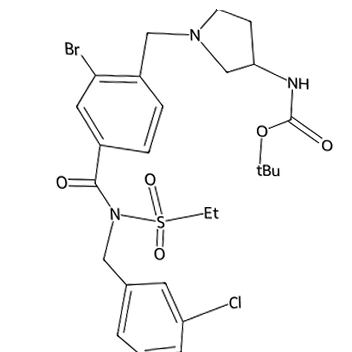 CCS(=O)(=O)N(Cc1cccc(Cl)c1)C(=O)c1ccc(CN2CCC(NC(=O)OC(C)(C)C)C2)c(Br)c1